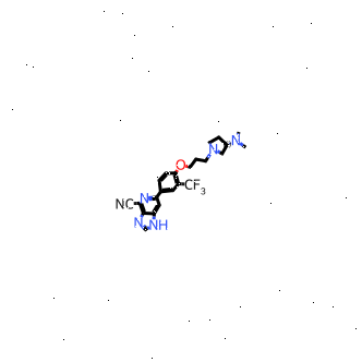 CN(C)[C@H]1CCN(CCCOc2ccc(-c3cc4[nH]cnc4c(C#N)n3)cc2C(F)(F)F)C1